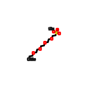 COCCOCCOCCOCCOCCS(=O)(=O)OC(C)(C)C